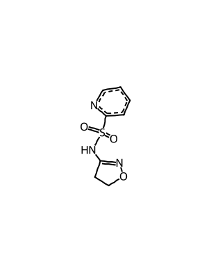 O=S(=O)(NC1=NOCC1)c1ccccn1